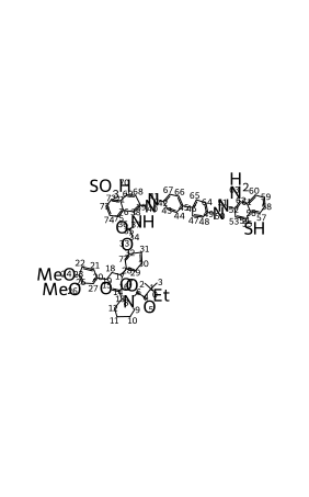 CCC(C)(C)C(=O)C(=O)N1CCCCC1C(=O)OC(CCc1ccc(OC)c(OC)c1)c1cccc(OCC(=O)Nc2c(/N=N/c3ccc(-c4ccc(/N=N/c5cc(S)c6ccccc6c5N)cc4)cc3)cc(S(=O)(=O)O)c3ccccc23)c1